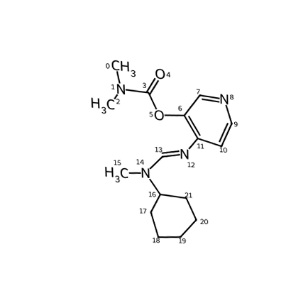 CN(C)C(=O)Oc1cnccc1N=CN(C)C1CCCCC1